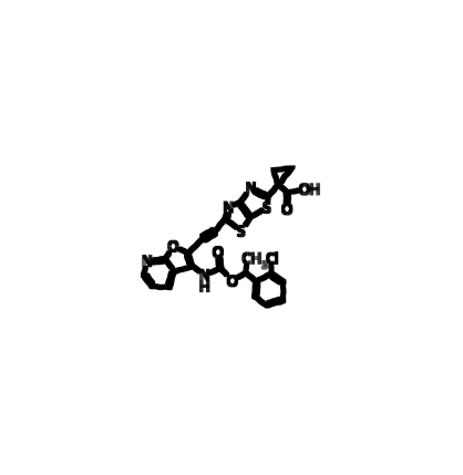 CC(OC(=O)Nc1c(C#Cc2nc3nc(C4(C(=O)O)CC4)sc3s2)oc2ncccc12)c1ccccc1Cl